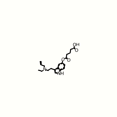 C=CCN(CC)CCc1c[nH]c2ccc(OC(=O)CCCC(=O)O)cc12